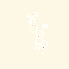 CC12CCc3c(cc(O)c4cc(OS(=O)(=O)O)ccc34)C1CCC2=O